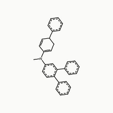 CN(C1=CCC(c2ccccc2)C=C1)c1ccc(-c2ccccc2)c(-c2ccccc2)c1